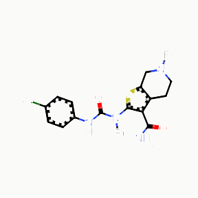 CCN1CCc2c(sc(N(CC)C(=O)Nc3ccc(Cl)cc3)c2C(N)=O)C1